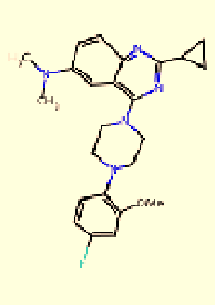 COc1cc(F)ccc1N1CCN(c2nc(C3CC3)nc3ccc(N(C)C)cc23)CC1